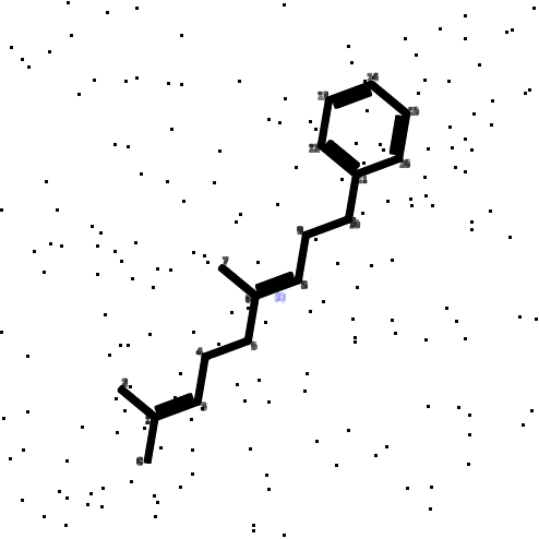 CC(C)=CCC/C(C)=C/C[CH]c1ccccc1